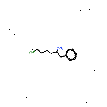 NC(CCCCCl)Cc1ccccc1